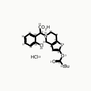 CC(C)(C)C(=O)Oc1cc2c(s1)CCN(C(C(=O)O)c1ccccc1Cl)C2.Cl